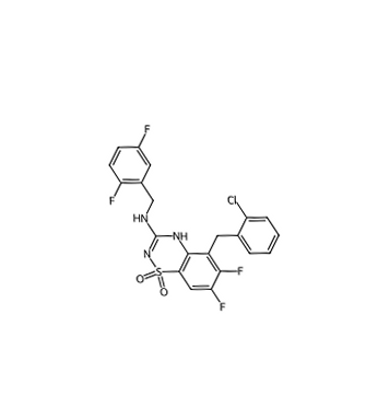 O=S1(=O)N=C(NCc2cc(F)ccc2F)Nc2c1cc(F)c(F)c2Cc1ccccc1Cl